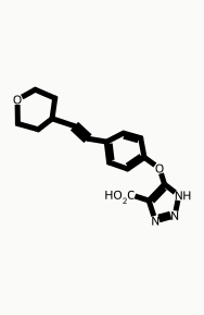 O=C(O)c1nn[nH]c1Oc1ccc(C#CC2CCOCC2)cc1